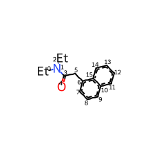 CCN(CC)C(=O)Cc1cccc2ccccc12